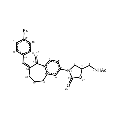 CC(=O)NCC1CN(c2ccc3c(c2)CCCC(=Cc2ccc(F)cc2)C3=O)C(=O)O1